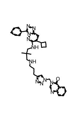 CC(C)(CNCCCc1cn(Cn2cnc3ccccc3c2=O)nn1)CNc1nn2c(-c3ccccc3)nnc2cc1C1CCC1